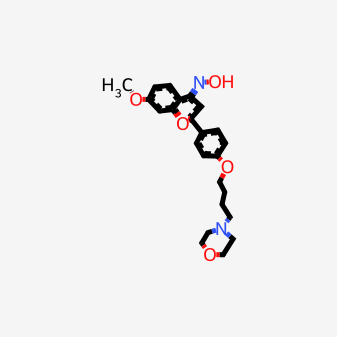 COc1ccc2c(=NO)cc(-c3ccc(OCCCCN4CCOCC4)cc3)oc2c1